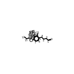 C=CCCCc1ccc(OCCC)c(S(F)(F)(F)(F)F)c1C